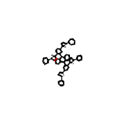 c1ccc(-c2ccc(-c3ccc(-c4ccc(-c5ccccc5)s4)c(-c4c5ccccc5c(-c5cc(-c6ccc(-c7ccccc7)s6)ccc5-c5ccc(-c6ccccc6)s5)c5ccccc45)c3)s2)cc1